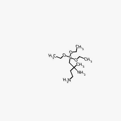 CCO[Si](CC(C)(N)CCN)(OCC)OCC